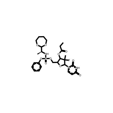 CCC(=O)OC1C(COP(=O)(N[C@@H](C)C2OCCCCO2)Oc2ccccc2)OC(n2ccc(=O)[nH]c2=O)C1(C)F